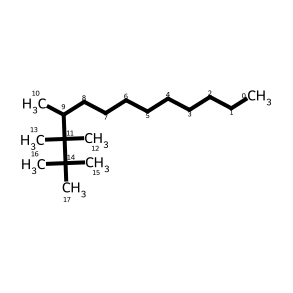 CCCCCCCCCC(C)C(C)(C)C(C)(C)C